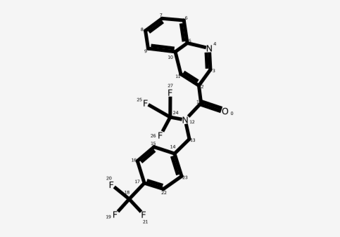 O=C(c1cnc2ccccc2c1)N(Cc1ccc(C(F)(F)F)cc1)C(F)(F)F